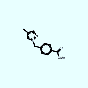 COC(=O)c1ccc(Cn2cc(C)cn2)cc1